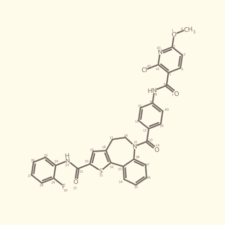 COc1ccc(C(=O)Nc2ccc(C(=O)N3CCc4cc(C(=O)Nc5ccccc5F)sc4-c4ccccc43)cc2)c(Cl)n1